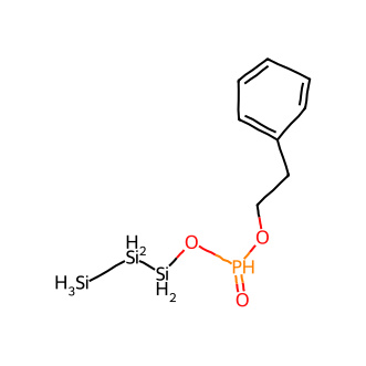 O=[PH](OCCc1ccccc1)O[SiH2][SiH2][SiH3]